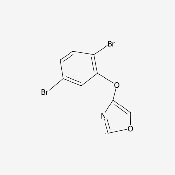 Brc1ccc(Br)c(Oc2co[c]n2)c1